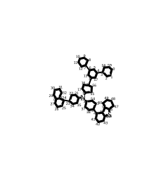 c1ccc(-c2cc(-c3ccccc3)cc(-c3ccc(N(c4ccc(-c5cccc6ccccc56)cc4)c4ccc(-c5cccc6sc7ccccc7c56)cc4)cc3)c2)cc1